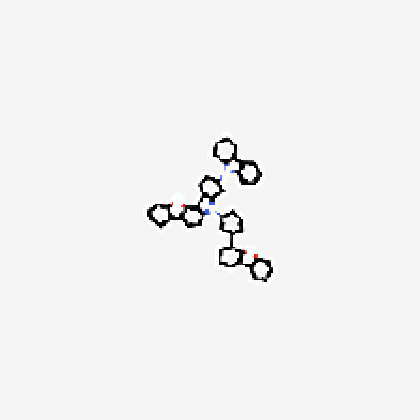 c1cc(-c2cccc3c2oc2ccccc23)cc(-n2c3cc(-n4c5ccccc5c5ccccc54)ccc3c3c4oc5ccccc5c4ccc32)c1